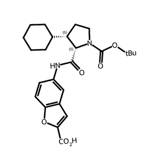 CC(C)(C)OC(=O)N1CC[C@@H](C2CCCCC2)[C@H]1C(=O)Nc1ccc2oc(C(=O)O)cc2c1